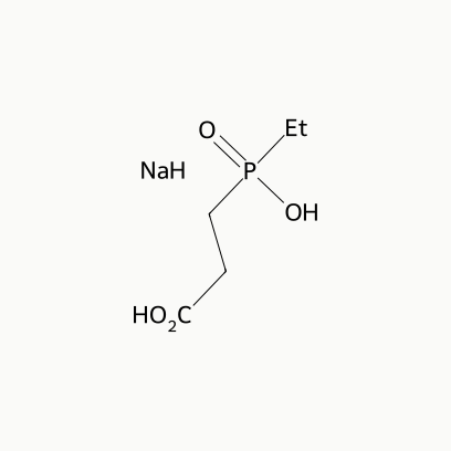 CCP(=O)(O)CCC(=O)O.[NaH]